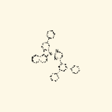 c1ccc(-c2cc(-c3ccccc3)cc(-c3ccnc(-n4c5cc(-c6ccccc6)ccc5c5c6ccccc6ccc54)n3)c2)cc1